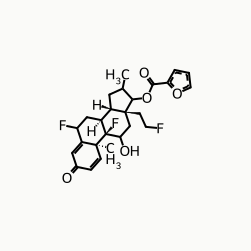 CC1C[C@H]2[C@@H]3CC(F)C4=CC(=O)C=C[C@]4(C)[C@@]3(F)C(O)C[C@@]2(CCF)C1OC(=O)c1ccco1